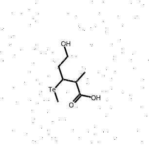 C[Te]C(CCO)C(C)C(=O)O